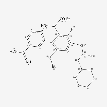 CCOC(=O)C(Nc1ccc(C(=N)N)cc1)c1cc(OCC)cc(O[C@H](C)CN2CCCCC2)c1F